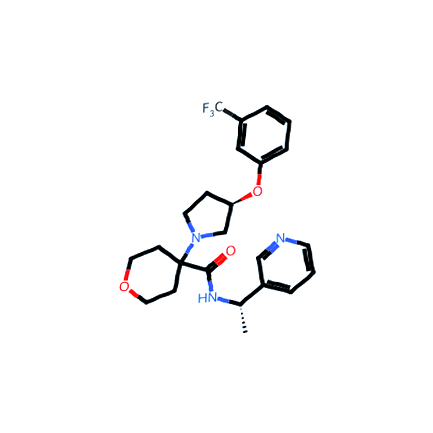 C[C@H](NC(=O)C1(N2CC[C@@H](Oc3cccc(C(F)(F)F)c3)C2)CCOCC1)c1cccnc1